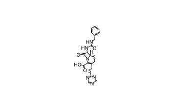 O=C(NCc1ccccc1)NC1C(=O)N2C(C(=O)O)=C(CSc3ncncn3)CS[C@@H]12